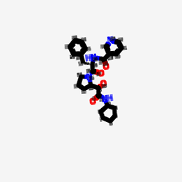 O=C(NC1CCCCC1)C(=O)C1CCCN1C(=O)[C@H](Cc1ccccc1)NC(=O)c1cccnc1